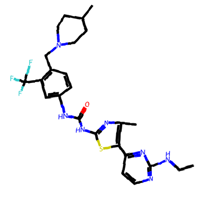 CCNc1nccc(-c2sc(NC(=O)Nc3ccc(CN4CCC(C)CC4)c(C(F)(F)F)c3)nc2C)n1